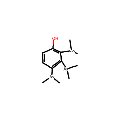 C[As](C)c1ccc(O)c([As](C)C)c1[As](C)C